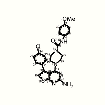 COc1ccc(NC(=O)N2CCN(c3nc(N)nc4scc(-c5ccc(Cl)cc5)c34)CC2)cc1